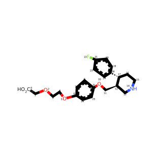 O=C(O)COCCOc1ccc(OC[C@@H]2CNCC[C@H]2c2ccc(F)cc2)cc1